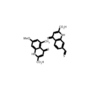 COc1cc(C)c2c(=S)cc(C(=O)O)[nH]c2c1.O=C(O)c1cc(=S)c2ccc(C=S)cc2[nH]1